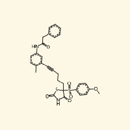 COc1ccc(S(=O)(=O)C2(CCCC#Cc3cc(NC(=O)Cc4ccccc4)ccc3C)SC(=O)NC2=O)cc1